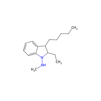 CCCCCC1c2ccccc2N(NC)C1CC